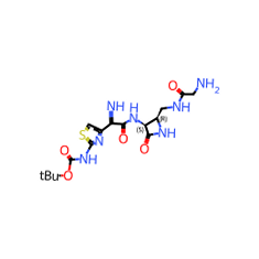 CC(C)(C)OC(=O)Nc1nc(C(=N)C(=O)N[C@@H]2C(=O)N[C@@H]2CNC(=O)CN)cs1